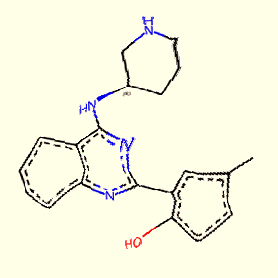 Cc1ccc(O)c(-c2nc(N[C@@H]3CCCNC3)c3ccccc3n2)c1